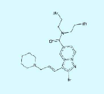 CC(C)CCN(CCC(C)C)C(=O)c1ccn2nc(Br)c(C=CCN3CCCCC3)c2c1